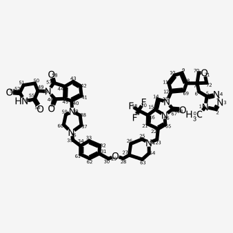 Cn1cnnc1CC1(c2cccc(-n3cc4c(C(F)(F)F)cc(CN5CCC(COCc6ccc(CN7CCN(c8cccc9c8C(=O)N(C8CCC(=O)NC8=O)C9=O)CC7)cc6)CC5)cn4c3=O)c2)COC1